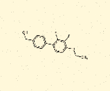 CCOc1ccc(-c2ccc(CO)cc2)c(F)c1F